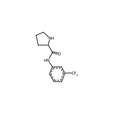 O=C(Nc1[c]ccc(C(F)(F)F)c1)C1CCCN1